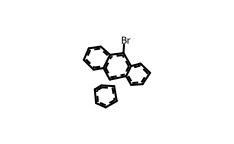 Brc1c2ccccc2cc2ccccc12.c1ccccc1